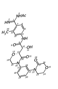 CC(=O)NC(=N)c1ccc(NC(=O)[C@H](O)[C@H]2OCCN(c3cccc(N4CCOCC4=O)c3)C2=O)cc1C